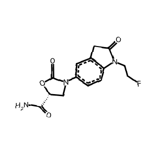 NC(=O)[C@H]1CN(c2ccc3c(c2)CC(=O)N3CCF)C(=O)O1